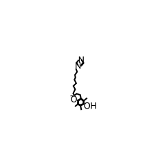 Cc1c(C)c2c(c(C)c1O)CC[C@@](C)(CCCCCCCCCN1C=CN=CC1)O2